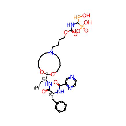 CC(C)C[C@@H](NC(=O)[C@@H](Cc1ccccc1)NC(=O)c1cnccn1)B1OCCCCN(CCCCOC(=O)NC(PO)P(=O)(O)O)CCCCO1